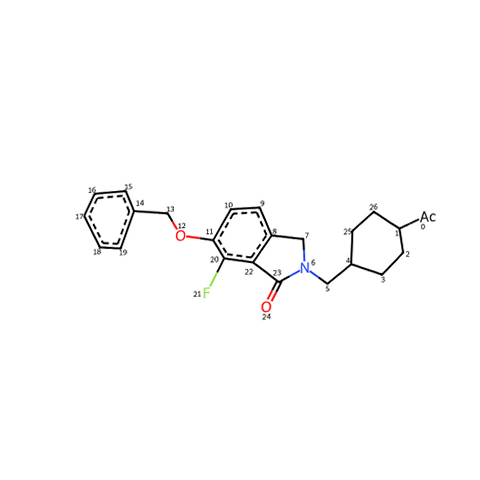 CC(=O)C1CCC(CN2Cc3ccc(OCc4ccccc4)c(F)c3C2=O)CC1